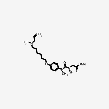 C=CCN(C)CCCCCCOc1ccc(N(C)C(=O)N(S)CC(=O)OC)cc1